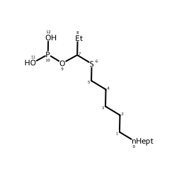 CCCCCCCCCCCCSC(CC)OP(O)O